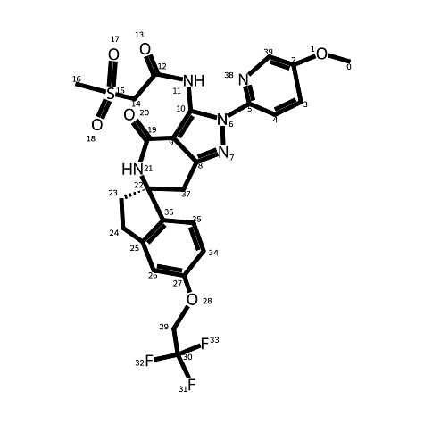 COc1ccc(-n2nc3c(c2NC(=O)CS(C)(=O)=O)C(=O)N[C@@]2(CCc4cc(OCC(F)(F)F)ccc42)C3)nc1